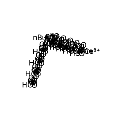 CCCC[N+](CCCC)(CCCC)CCCC.O=[Si]([O-])[O][W](=[O])(=[O])[OH].O=[Si]([O-])[O][W](=[O])(=[O])[OH].O=[Si]([O-])[O][W](=[O])(=[O])[OH].O=[Si]([O-])[O][W](=[O])(=[O])[OH].O=[Si]([O-])[O][W](=[O])(=[O])[OH].O=[Si]([O-])[O][W](=[O])(=[O])[OH].O=[Si]([O-])[O][W](=[O])(=[O])[OH].O=[Si]([O-])[O][W](=[O])(=[O])[OH].O=[Si]([O-])[O][W](=[O])(=[O])[OH].[Ce+3].[Mo+6]